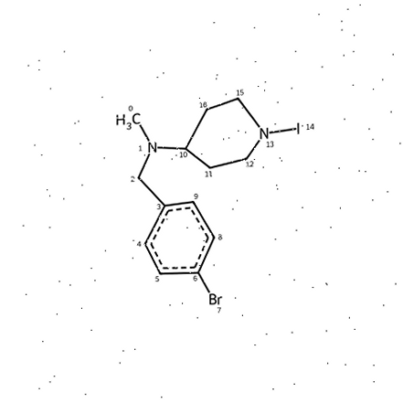 CN(Cc1ccc(Br)cc1)C1CCN(I)CC1